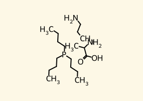 CC(N)C(=O)O.CCCCP(CCCC)CCCC.CCCN